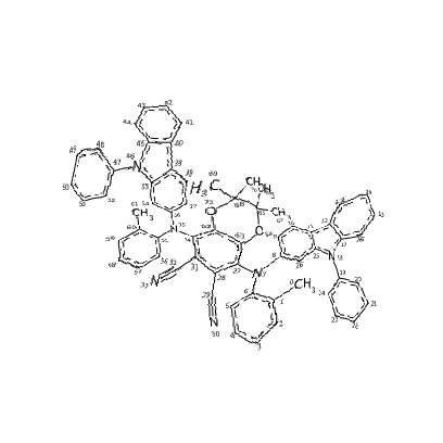 Cc1ccccc1N(c1ccc2c3ccccc3n(-c3ccccc3)c2c1)c1c(C#N)c(C#N)c(N(c2ccc3c4ccccc4n(-c4ccccc4)c3c2)c2ccccc2C)c2c1OC(C)(C)C(C)(C)O2